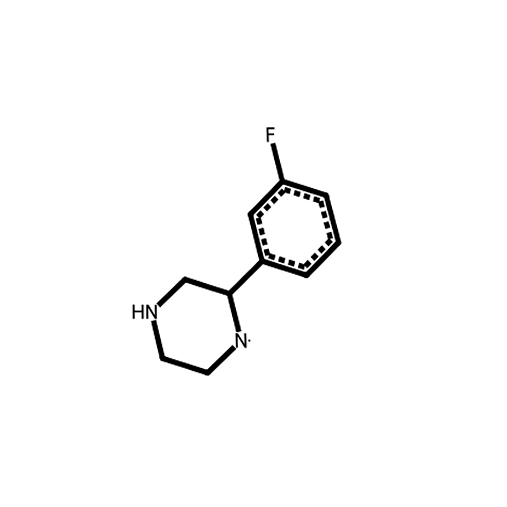 Fc1cccc(C2CNCC[N]2)c1